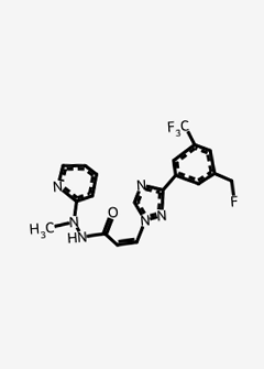 CN(NC(=O)/C=C\n1cnc(-c2cc(CF)cc(C(F)(F)F)c2)n1)c1ccccn1